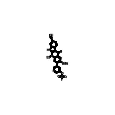 C#Cc1ccc2c(c1)[nH]c1c2c(=O)c2cc(OCC(C)C)c(-c3cncc(OS(=O)(=O)F)c3)cc2n1CC